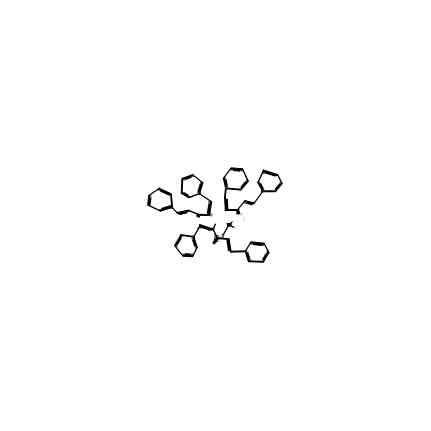 O=C(C=Cc1ccccc1)[C](=Cc1ccccc1)[Pd]([C](=Cc1ccccc1)C(=O)C=Cc1ccccc1)([C](=Cc1ccccc1)C(=O)C=Cc1ccccc1)[C](Cl)(Cl)Cl